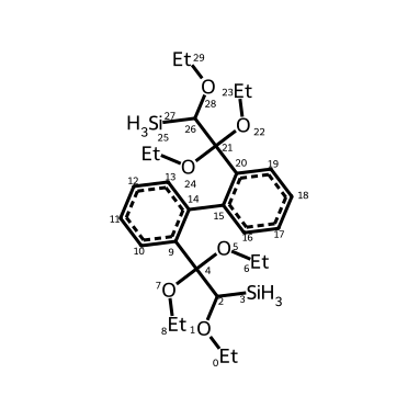 CCOC([SiH3])C(OCC)(OCC)c1ccccc1-c1ccccc1C(OCC)(OCC)C([SiH3])OCC